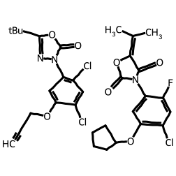 C#CCOc1cc(-n2nc(C(C)(C)C)oc2=O)c(Cl)cc1Cl.CC(C)=C1OC(=O)N(c2cc(OC3CCCC3)c(Cl)cc2F)C1=O